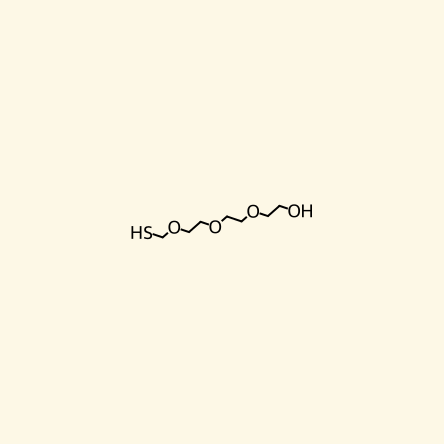 OCCOCCOCCOCS